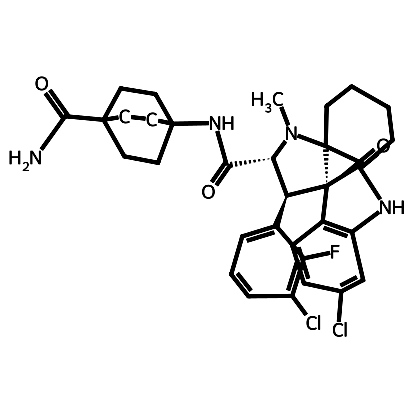 CN1[C@@H](C(=O)NC23CCC(C(N)=O)(CC2)CC3)[C@H](c2cccc(Cl)c2F)[C@]2(C(=O)Nc3cc(Cl)ccc32)C12CCCCC2